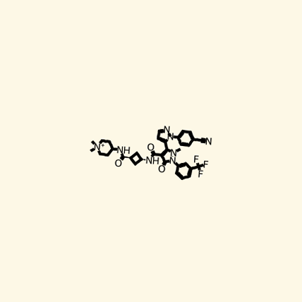 Cn1c(-c2ccnn2-c2ccc(C#N)cc2)c(C(=O)N[C@H]2C[C@H](C(=O)NC3CC[N+](C)(C)CC3)C2)c(=O)n1-c1cccc(C(F)(F)F)c1